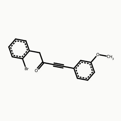 COc1cccc(C#CC(=O)Cc2ccccc2Br)c1